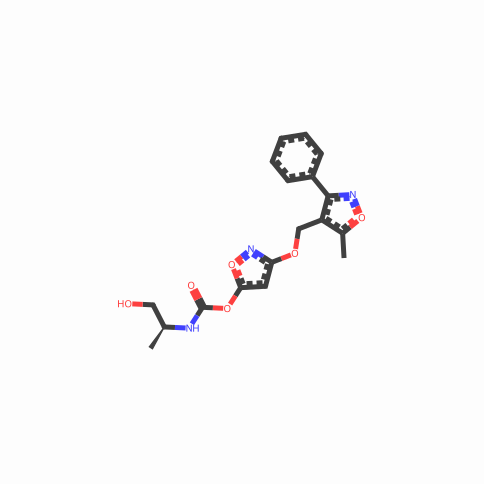 Cc1onc(-c2ccccc2)c1COc1cc(OC(=O)N[C@@H](C)CO)on1